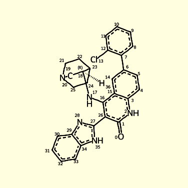 O=c1[nH]c2ccc(-c3ccccc3Cl)cc2c(N[C@H]2CN3CCC2CC3)c1-c1nc2ccccc2[nH]1